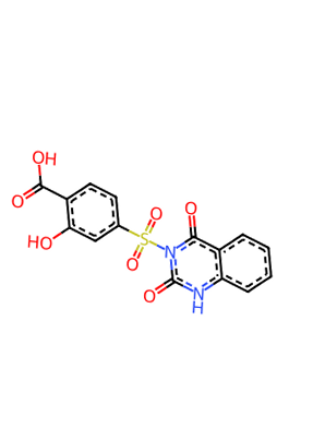 O=C(O)c1ccc(S(=O)(=O)n2c(=O)[nH]c3ccccc3c2=O)cc1O